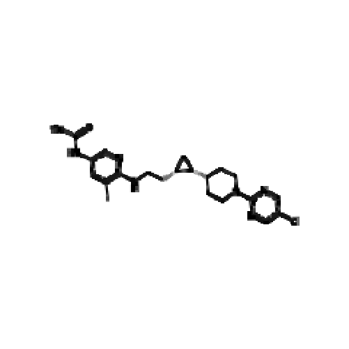 Cc1cc(NC(=O)C(C)(C)C)cnc1NCC[C@@H]1C[C@@H]1C1CCN(c2ncc(Cl)cn2)CC1